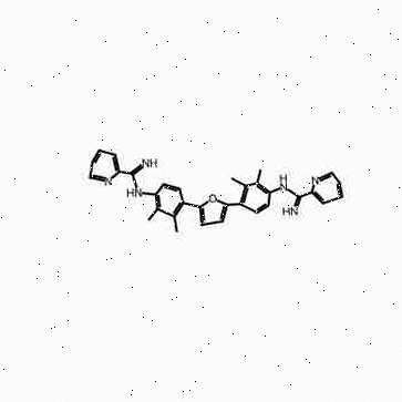 Cc1c(NC(=N)c2ccccn2)ccc(-c2ccc(-c3ccc(NC(=N)c4ccccn4)c(C)c3C)o2)c1C